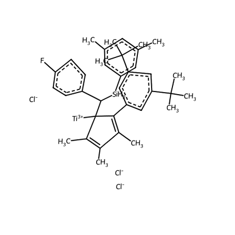 CC1=C(C)[C]([Ti+3])(C([SiH2]c2cc(C)cc(C)c2)c2ccc(F)cc2)C(c2cc(C(C)(C)C)cc(C(C)(C)C)c2)=C1C.[Cl-].[Cl-].[Cl-]